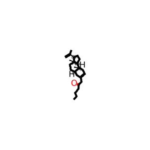 C=C(C)[C@H]1CC[C@@H]2[C@]1(C)CC[C@@H]1CC(CC(=O)CCCC)=CC[C@]12C